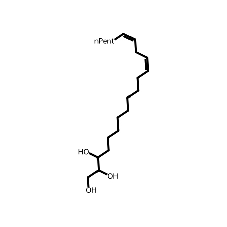 CCCCC/C=C\C/C=C\CCCCCCCCC(O)C(O)CO